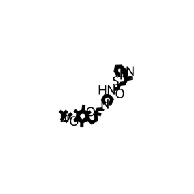 Cc1c(C)c2c(c(C)c1O[Si](C)(C)C(C)(C)C)CCC(C)(CCN1CCC(NC(=O)C3=Cc4cnc5cccc(n45)S3)CC1)O2